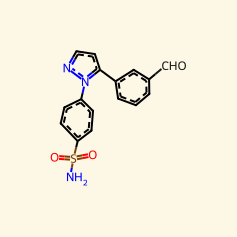 NS(=O)(=O)c1ccc(-n2nccc2-c2cccc(C=O)c2)cc1